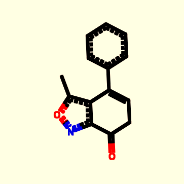 Cc1onc2c1C(c1ccccc1)=CCC2=O